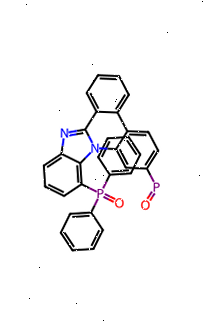 O=Pc1ccc2c3ccccc3c3nc4cccc(P(=O)(c5ccccc5)c5ccccc5)c4n3c2c1